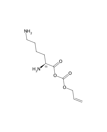 C=CCOC(=O)OC(=O)[C@@H](N)CCCCN